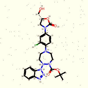 CC(C)(C)OC(=O)N1CCN(c2ccc(N3C[C@H](CO)OC3=O)cc2F)CCN1n1nnc2ccccc21